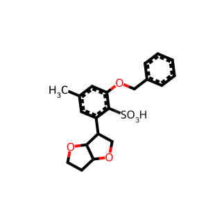 Cc1cc(OCc2ccccc2)c(S(=O)(=O)O)c(C2COC3CCOC32)c1